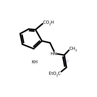 CCOC(=O)/C=C(/C)NCc1ccccc1C(=O)O.[KH]